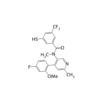 COc1cc(F)ccc1-c1cc(C)ncc1N(C)C(=O)c1cc(S)cc(C(F)(F)F)c1